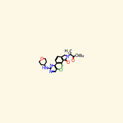 CC(C)COC(=O)[C@@H](C)N1Cc2ccc(-c3nc(NC4CCOCC4)ncc3Cl)c(F)c2C1=O